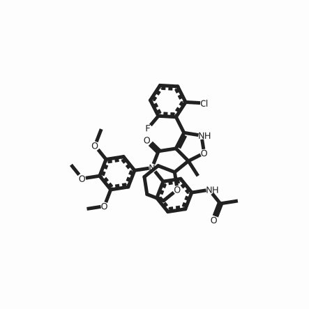 COc1cc(N(C(=O)C2=C(c3c(F)cccc3Cl)NOC2(C)C2CCCCO2)c2cccc(NC(C)=O)c2)cc(OC)c1OC